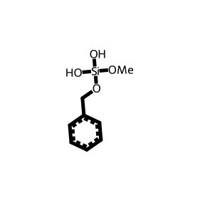 CO[Si](O)(O)OCc1ccccc1